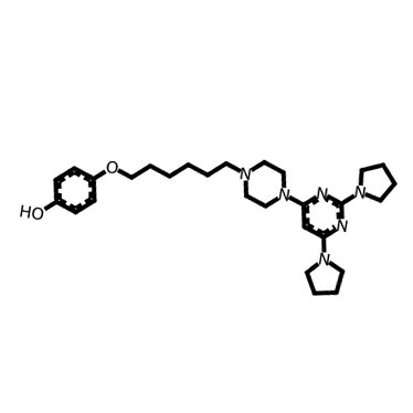 Oc1ccc(OCCCCCCN2CCN(c3cc(N4CCCC4)nc(N4CCCC4)n3)CC2)cc1